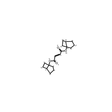 O=C(/C=C/C(=O)OC12CCCC1CC2)OC12CCCC1CC2